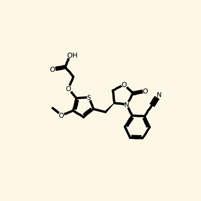 COc1cc(C[C@H]2COC(=O)N2c2ccccc2C#N)sc1OCC(=O)O